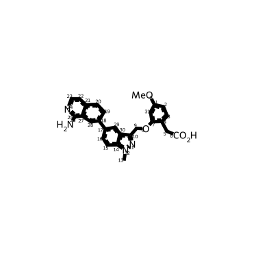 COc1ccc(CC(=O)O)c(OCc2nn(C)c3ccc(-c4ccc5ccnc(N)c5c4)cc23)c1